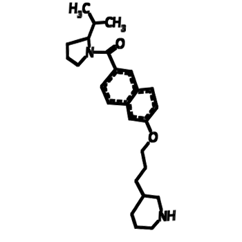 CC(C)C1CCCN1C(=O)c1ccc2cc(OCCCC3CCCNC3)ccc2c1